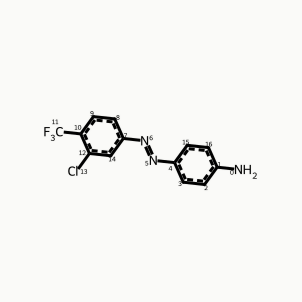 Nc1ccc(N=Nc2ccc(C(F)(F)F)c(Cl)c2)cc1